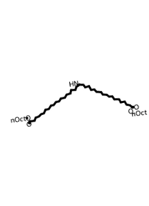 CCCCCCCCOC(=O)CCCCCCCCCCCCCCCCCC1=C(CCCCCCCCCCCCCCCCCC(=O)OCCCCCCCC)N1